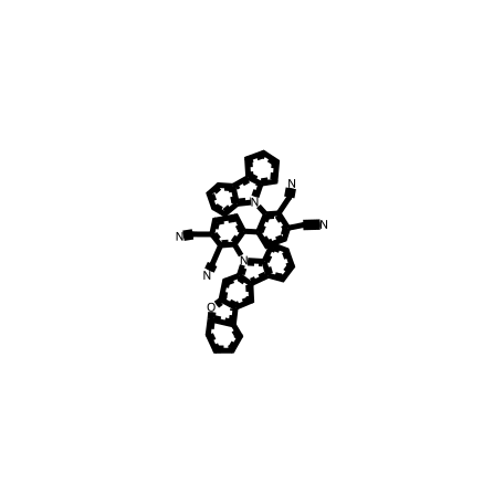 N#Cc1ccc(-c2ccc(C#N)c(C#N)c2-n2c3ccccc3c3cc4c(cc32)oc2ccccc24)c(-n2c3ccccc3c3ccccc32)c1C#N